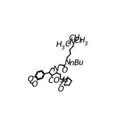 CCCCN(CCCC[N+](C)(C)C)C(=O)CN1CC(c2ccc3c(c2)OCO3)C(C(=O)O)C1CCN1CCCC1=O